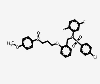 COc1ccc([S+]([O-])CCCOc2ccccc2CN(c2cc(F)ccc2F)S(=O)(=O)c2ccc(Cl)cc2)cc1